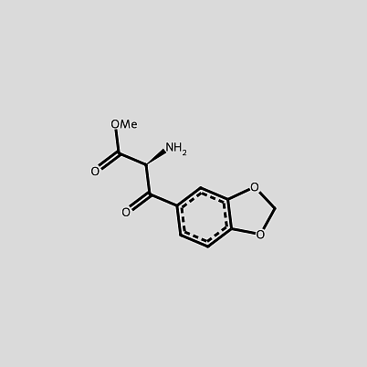 COC(=O)[C@@H](N)C(=O)c1ccc2c(c1)OCO2